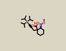 CO/N=C1\CCCCC1(CC#C[Si](C(C)C)(C(C)C)C(C)C)C(=O)O